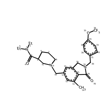 CCN(CC)C(=O)C1CCCN(Cc2cc(C)c3c(c2)CN(Cc2ccc(OC(F)(F)F)cc2)C3=O)C1